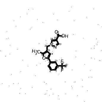 Cc1oc(-c2cccc(C(F)(F)F)c2)cc1Cn1cc(C(=O)O)cn1